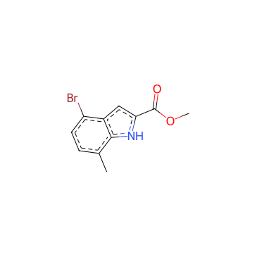 COC(=O)c1cc2c(Br)ccc(C)c2[nH]1